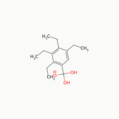 CCc1cc(C(O)(O)O)c(CC)c(CC)c1CC